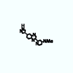 CNc1ccnc(-c2cnc3cc(-c4cn[nH]c4)ccc3n2)c1